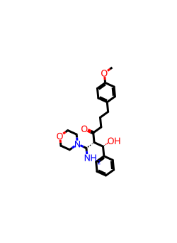 COc1ccc(CCCC(=O)[C@@H](C(N)N2CCOCC2)[C@H](O)c2ccccc2)cc1